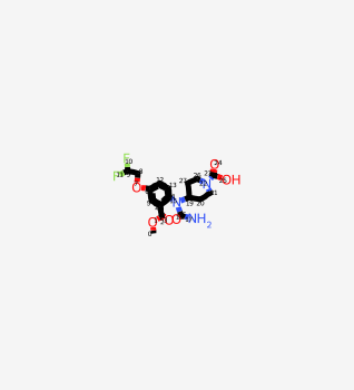 COC(=O)c1cc(OCC(F)F)ccc1N(C(N)=O)C1CCN(C(=O)O)CC1